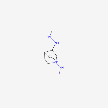 CNNC1C[N+]2(NI)CCC1CC2